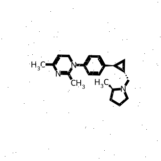 CC1=CCN(c2ccc([C@H]3C[C@@H]3CN3CCC[C@H]3C)cc2)C(C)=N1